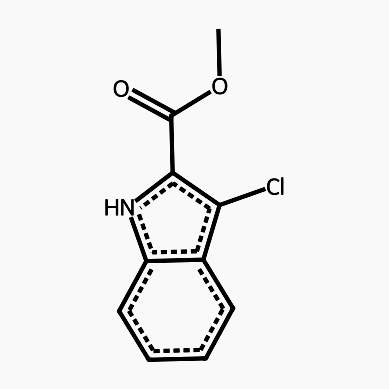 COC(=O)c1[nH]c2ccccc2c1Cl